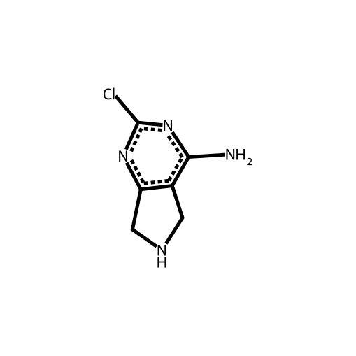 Nc1nc(Cl)nc2c1CNC2